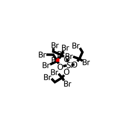 BrCC(Br)(Br)O[Si](OC(Br)(Br)CBr)(OC(Br)(Br)CBr)OC(Br)(Br)CBr